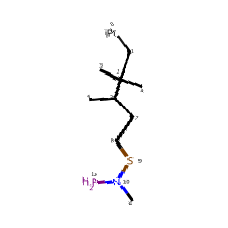 CC(C)CC(C)(C)C(C)CCSN(C)P